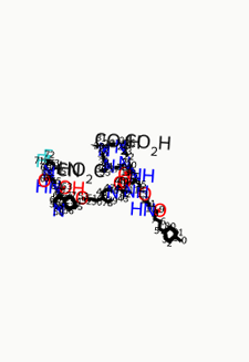 Cc1ccc(CCCC(=O)NCCOCC[C@H](NC(=O)CN2CCN(CC(=O)O)CCN(CC(=O)O)CCN(CC(=O)O)CC2)C(=O)N[C@@H](C)C(=O)N2CCC(CCCOc3ccc4nccc(C(O)NCC(=O)N5CC(F)(F)C[C@@H]5C#N)c4c3)CC2)cc1